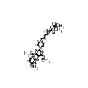 COc1nc(N2CCN(CCCCNC(=O)OC(C)(C)C)CC2)nc(OC)c1Sc1nccc(N)n1